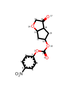 O=C(Oc1ccc([N+](=O)[O-])cc1)OC1CC2OCC(=O)C2C1